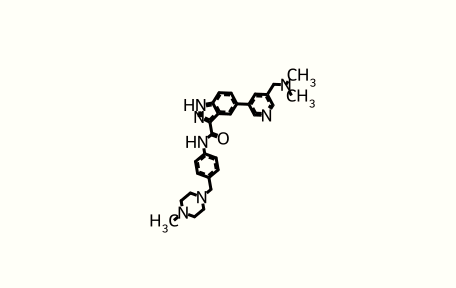 CN(C)Cc1cncc(-c2ccc3[nH]nc(C(=O)Nc4ccc(CN5CCN(C)CC5)cc4)c3c2)c1